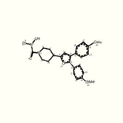 CCN(O)C(=O)N1CCC(c2cc(-c3ccc(OC)cc3)c(-c3ccc(OC)cc3)o2)CC1